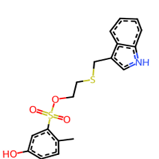 Cc1ccc(O)cc1S(=O)(=O)OCCSCc1c[nH]c2ccccc12